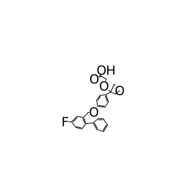 O=C(O)COC1(c2ccc(OCc3cc(F)ccc3-c3ccccc3)cc2)COC1